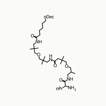 CCCCCCCCCCCCCCCC(=O)NCC(C)(C)COCC(C)(C)CNC(=O)CC(C)(C)COCC(C)CNC(=O)C(N)CCC